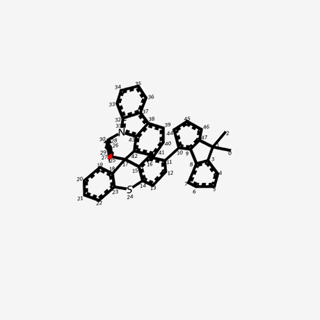 CC1(C)c2ccccc2-c2c(-c3ccc4c(c3)C3(c5ccccc5S4)c4ccccc4-n4c5ccccc5c5cccc3c54)cccc21